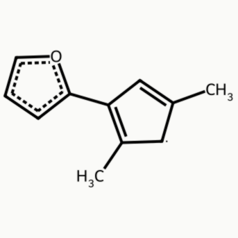 CC1=CC(c2ccco2)=C(C)[CH]1